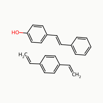 C=Cc1ccc(C=C)cc1.Oc1ccc(C=Cc2ccccc2)cc1